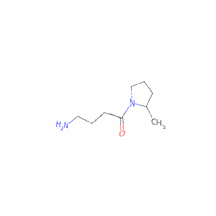 CC1CCCN1C(=O)CCCN